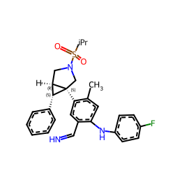 Cc1cc(Nc2ccc(F)cc2)c(C=N)cc1[C@@]12CN(S(=O)(=O)C(C)C)C[C@@H]1[C@H]2c1ccccc1